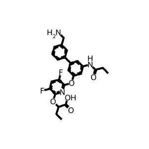 CCC(=O)Nc1cc(Oc2nc(OC(CC)C(=O)O)c(F)cc2F)cc(-c2cccc(CN)c2)c1